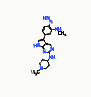 CNc1cc(-c2c[nH]c3nc(NC4CCN(C)CC4)ncc23)ccc1N=N